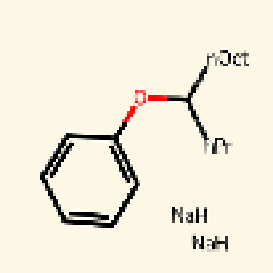 CCCCCCCCC(CCC)Oc1ccccc1.[NaH].[NaH]